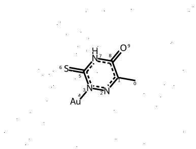 Cc1n[n]([Au])c(=S)[nH]c1=O